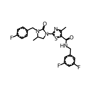 Cc1nc(N2CC(C)N(Cc3ccc(F)cc3)C2=O)sc1C(=O)NCc1cc(F)cc(F)c1